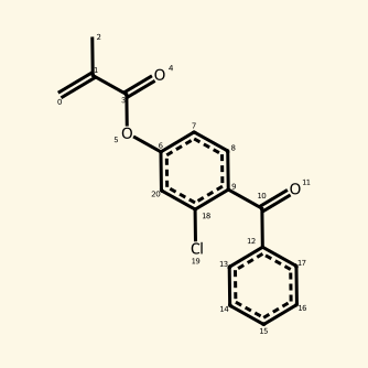 C=C(C)C(=O)Oc1ccc(C(=O)c2ccccc2)c(Cl)c1